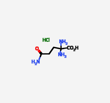 Cl.NC(=O)CCC(N)(N)C(=O)O